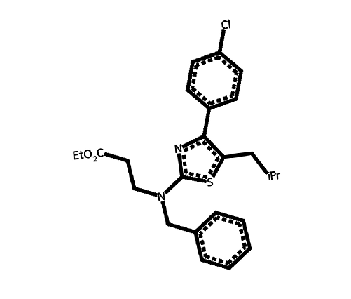 CCOC(=O)CCN(Cc1ccccc1)c1nc(-c2ccc(Cl)cc2)c(CC(C)C)s1